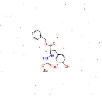 CC(C)(C)OC(=O)NN[C@@](C)(Cc1ccc(O)c(O)c1)C(=O)OCc1ccccc1